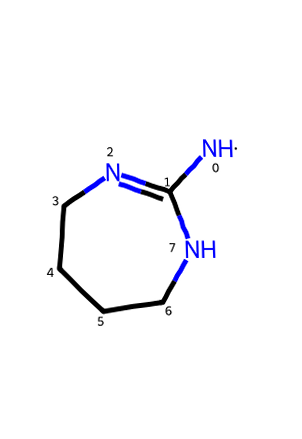 [NH]C1=NCCCCN1